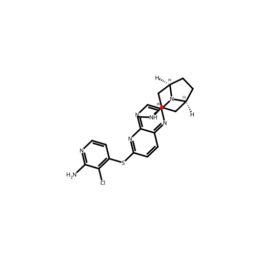 CN[C@H]1C[C@H]2CC[C@@H](C1)N2c1cnc2nc(Sc3ccnc(N)c3Cl)ccc2n1